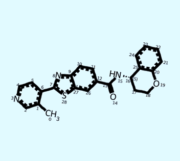 Cc1cnccc1-c1nc2ccc(C(=O)N[C@H]3CCOc4ccccc43)cc2s1